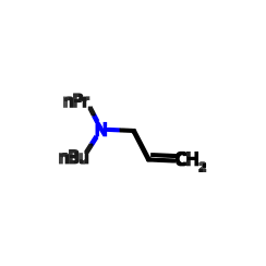 C=CCN(CCC)CCCC